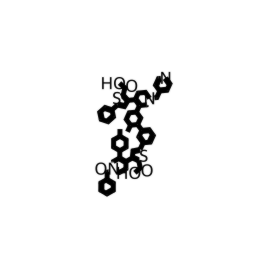 CC1CCC(C2=C(c3cc(-c4cccc(C5CC(C6=C(c7cc(-c8ccccc8)sc7C(=O)O)CCN(Cc7ccncc7)C6)CCC5C)c4)sc3C(=O)O)CCN(C(=O)c3ccccc3)C2)CC1